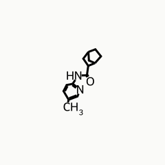 Cc1ccc(NC(=O)C2CC3CCC2C3)nc1